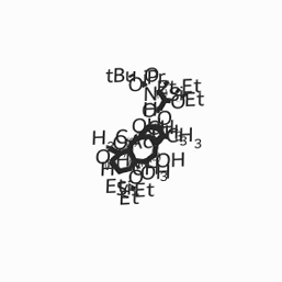 CC[Si](CC)(CC)OC(C(=O)O[C@H]1C[C@@]2(O)[C@@H](C)[C@@H]3[C@]4(OC(C)=O)CO[C@@H]4CC(O[Si](CC)(CC)CC)[C@@]3(C)[C@@H](O)[C@@H](O)C(=C1C)C2(C)C)[C@H](CC(C)C)NC(=O)OC(C)(C)C